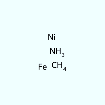 C.N.[Fe].[Ni]